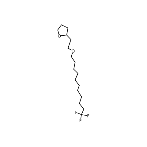 FC(F)(F)CCCCCCCCCCOCCC1CCCO1